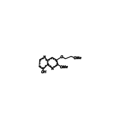 COCCOc1cc2nccc(O)c2nc1OC